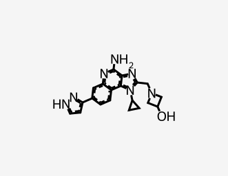 Nc1nc2cc(-c3cc[nH]n3)ccc2c2c1nc(CN1CC(O)C1)n2C1CC1